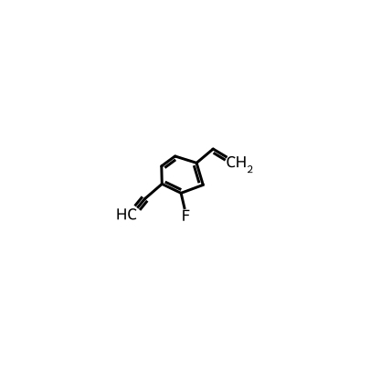 C#Cc1ccc(C=C)cc1F